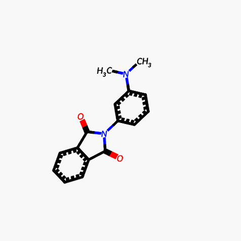 CN(C)c1cccc(N2C(=O)c3ccccc3C2=O)c1